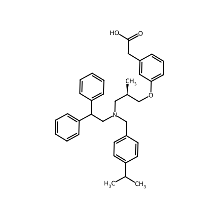 CC(C)c1ccc(CN(CC(c2ccccc2)c2ccccc2)C[C@@H](C)COc2cccc(CC(=O)O)c2)cc1